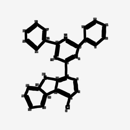 Clc1ccc(-c2nc(-c3ccccc3)nc(-c3ccccc3)n2)c2sc3ccccc3c12